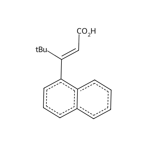 CC(C)(C)C(=CC(=O)O)c1cccc2ccccc12